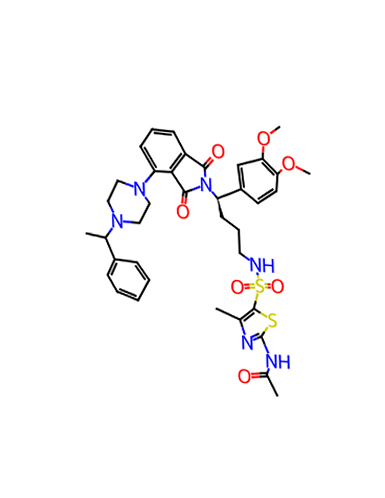 COc1ccc([C@@H](CCCNS(=O)(=O)c2sc(NC(C)=O)nc2C)N2C(=O)c3cccc(N4CCN(C(C)c5ccccc5)CC4)c3C2=O)cc1OC